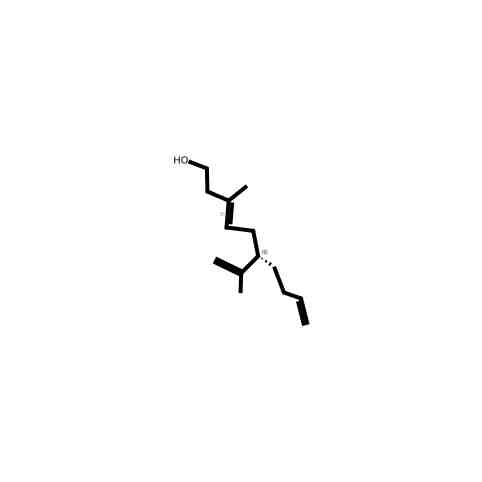 C=CCC[C@@H](C/C=C(\C)CCO)C(=C)C